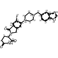 O=C1CCC(N2Cc3cc(N4CCN(Cc5ccc6ocnc6c5)CC4)c(F)cc3C2=O)C(=O)N1